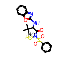 CC(C)(N=O)C(Nc1nc2ccccc2o1)C(=O)N(S)S(=O)(=O)c1ccccc1